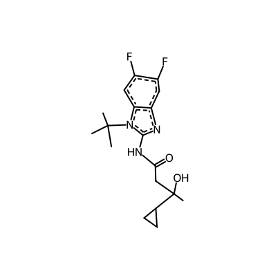 CC(O)(CC(=O)Nc1nc2cc(F)c(F)cc2n1C(C)(C)C)C1CC1